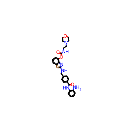 Nc1ccccc1NC(=O)c1ccc(CNc2nc3c(OC(=O)NCCN4CCOCC4)cccc3s2)cc1